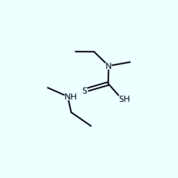 CCN(C)C(=S)S.CCNC